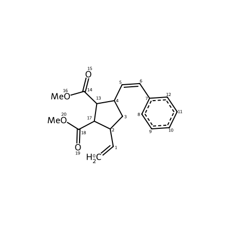 C=CC1CC(/C=C\c2ccccc2)C(C(=O)OC)C1C(=O)OC